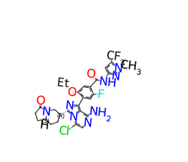 CCOc1cc(C(=O)Nc2cc(C(F)(F)F)n(C)n2)c(F)cc1-c1nc([C@@H]2CC[C@H]3CCC(=O)N3C2)n2c(Cl)cnc(N)c12